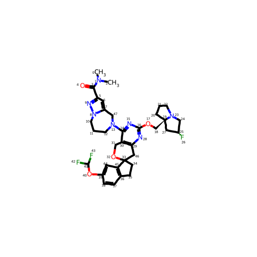 CN(C)C(=O)c1cc2n(n1)CCCN(c1nc(OC[C@@]34CCCN3C[C@H](F)C4)nc3c1COC1(CCc4ccc(OC(F)F)cc41)C3)C2